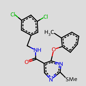 CSc1ncc(C(=O)NCc2cc(Cl)cc(Cl)c2)c(Oc2ccccc2C)n1